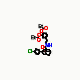 CCC(=O)Oc1ccc(CCNC(=O)C23CC4CC(C2)CC(c2ccc(Cl)cc2)(C4)C3)cc1OC(=O)CC